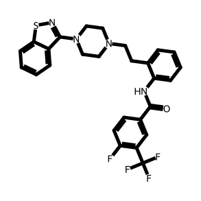 O=C(Nc1ccccc1CCN1CCN(c2nsc3ccccc23)CC1)c1ccc(F)c(C(F)(F)F)c1